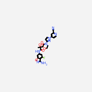 CC(O)(C(=O)Nc1cc(F)c2c(N)noc2c1)C1OCCN(c2ccn(-c3ccnc(C#N)c3)n2)C1=O